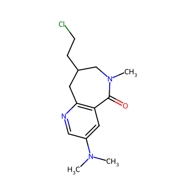 CN1CC(CCCl)Cc2ncc(N(C)C)cc2C1=O